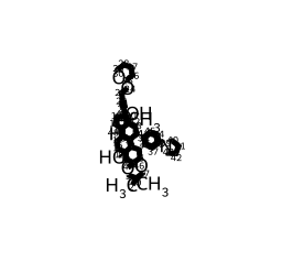 CC1(C)COC2(CCC3=C4[C@@H](CC[C@@]3(O)C2)[C@@H]2CC[C@@](O)(C#CCOC3CCCCO3)[C@@]2(C)C[C@@H]4c2ccc(N3CCCC3)cc2)OC1